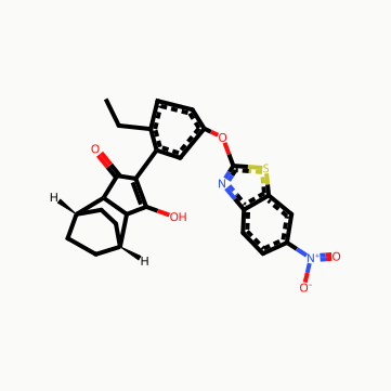 CCc1ccc(Oc2nc3ccc([N+](=O)[O-])cc3s2)cc1C1=C(O)C2C(C1=O)[C@H]1CC[C@@H]2CC1